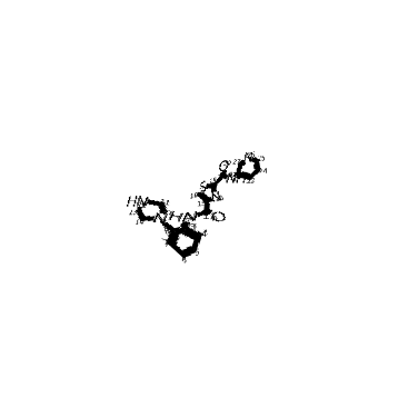 O=C(Nc1ccccc1N1CCNCC1)c1csc(C(=O)Nc2cccnc2)n1